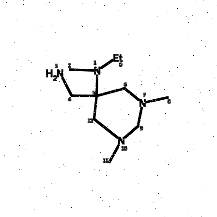 CCN(C)C1(CN)CN(C)CN(C)C1